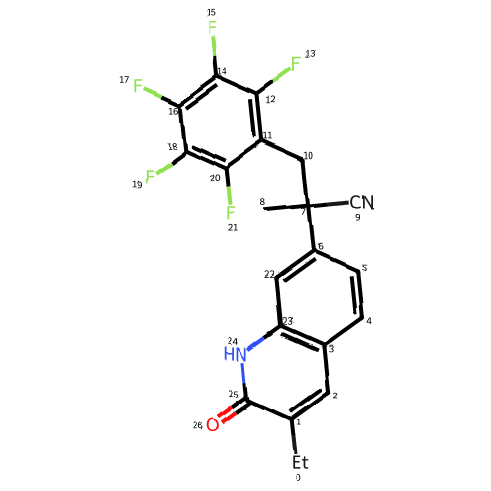 CCc1cc2ccc(C(C)(C#N)Cc3c(F)c(F)c(F)c(F)c3F)cc2[nH]c1=O